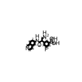 NCC(C(=O)Nc1ccc2cnccc2c1)c1cc(F)cc(B(O)O)c1